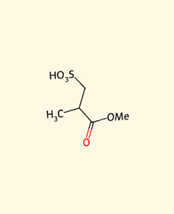 COC(=O)C(C)CS(=O)(=O)O